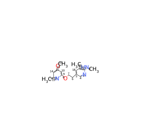 CNc1ncc(CCOc2cc(OC)cc(C)n2)cc1C